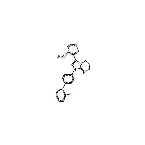 COc1ccccc1C1=CN(c2ccc(-c3ccccc3C)cc2)C2=NCCCN12